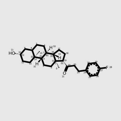 C[C@]12CC[C@H]3[C@@H](CCC4C[C@@H](O)CC[C@@]43C)[C@@H]1CC[C@@H]2C(=O)CCc1ccc(F)cc1